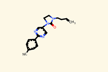 C=CCCN1CCN(c2cnc(-c3ccc(C#N)cc3)nc2)C1=O